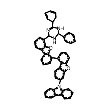 C1=CCC(C2=NC(c3cccc4c3oc3c(-c5cccc6oc7cc(-n8c9ccccc9c9ccccc98)ccc7c56)cccc34)NC(c3ccccc3)N2)C=C1